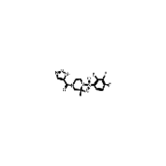 CC1(C)CN(C(=O)c2cnn[nH]2)CCN1S(=O)(=O)c1ccc(F)c(F)c1F